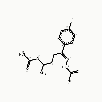 CC(CCC(=NNC(N)=S)c1ccc(Cl)cc1)OC(N)=O